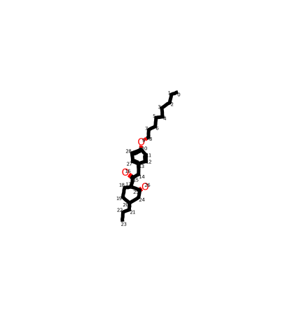 CCCCCCCCCOc1ccc(CC(=O)C2CCC(CCC)CC2=O)cc1